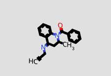 C#CC/N=C1\CC(C)N(C(=O)c2ccccc2)c2ccccc21